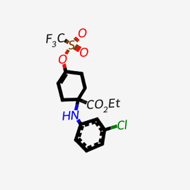 CCOC(=O)C1(Nc2cccc(Cl)c2)CC=C(OS(=O)(=O)C(F)(F)F)CC1